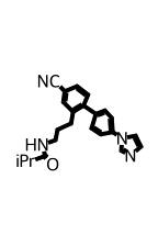 CC(C)C(=O)NCCCc1cc(C#N)ccc1-c1ccc(-n2ccnc2)cc1